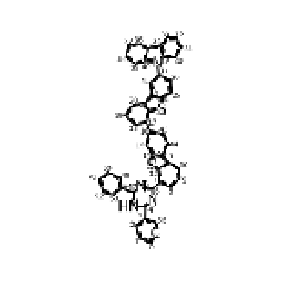 c1ccc(C2=NC(c3cccc4c3sc3cc(-c5cccc6c5sc5ccc(-n7c8ccccc8c8ccccc87)cc56)ccc34)=NC(c3ccccc3)N2)cc1